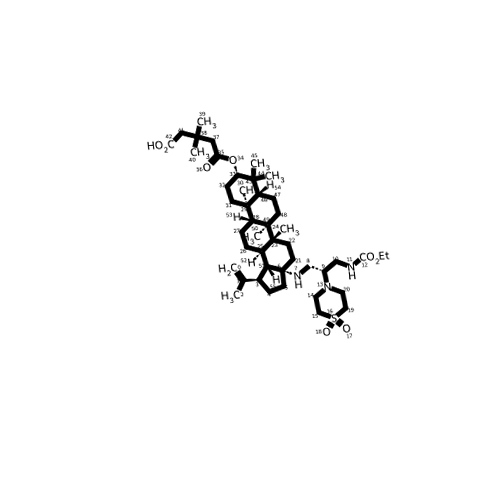 C=C(C)[C@@H]1CC[C@]2(NC[C@H](CNC(=O)OCC)N3CCS(=O)(=O)CC3)CC[C@]3(C)[C@H](CC[C@@H]4[C@@]5(C)CC[C@H](OC(=O)CC(C)(C)CC(=O)O)C(C)(C)[C@@H]5CC[C@]43C)[C@@H]12